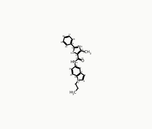 CCCn1ccc2cc(NC(=O)c3sc(-c4ccccc4)nc3C)ccc21